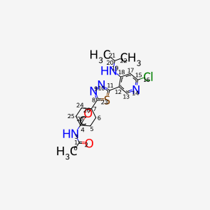 CC(=O)NC12CCC(c3nnc(-c4cnc(Cl)cc4NC(C)C)s3)(CC1)OC2